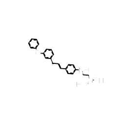 CN(C)CCNc1ccc(C=CC(=O)c2cccc(Oc3ccccc3)c2)cc1